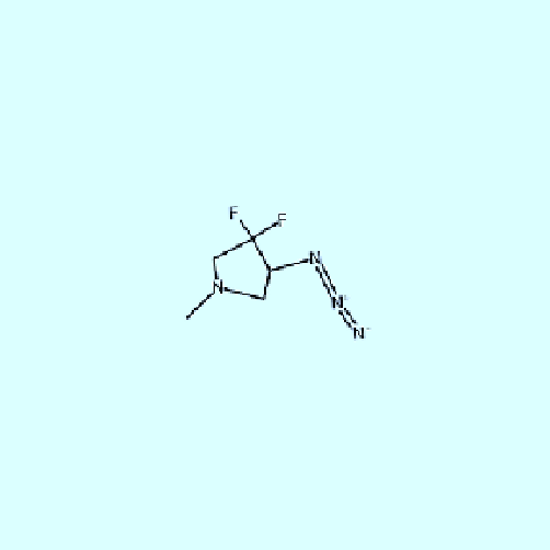 CN1CC(N=[N+]=[N-])C(F)(F)C1